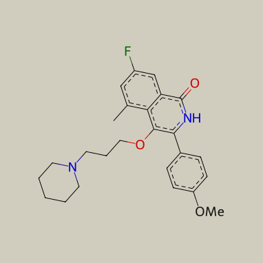 COc1ccc(-c2[nH]c(=O)c3cc(F)cc(C)c3c2OCCCN2CCCCC2)cc1